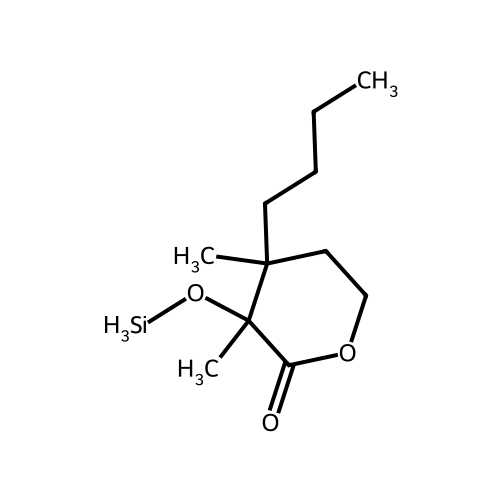 CCCCC1(C)CCOC(=O)C1(C)O[SiH3]